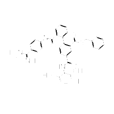 CC(C)C(NC(=O)c1ccc(-c2ccccc2C(=O)Nc2ccc(C(=N)N)cc2)c(C(=O)OCc2ccccc2)c1)C(C)C